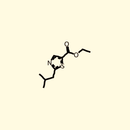 CCOC(=O)c1cnc(CC(C)C)s1